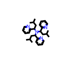 CC(C)CC(c1ccccn1)N(C(CC(C)C)c1ccccn1)C(CC(C)C)c1ccccn1